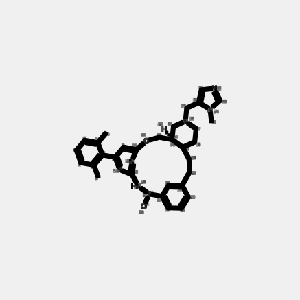 Cc1cccc(C)c1-c1cc2nc(n1)N[S+]([O-])c1cccc(c1)CCC1CCN(Cc3cncn3C)C[C@@H]1CO2